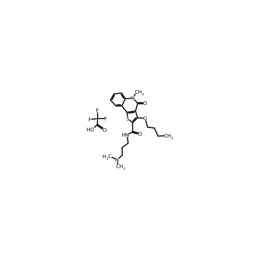 CCCCOc1c(C(=O)NCCCN(C)C)sc2c1c(=O)n(C)c1ccccc21.O=C(O)C(F)(F)F